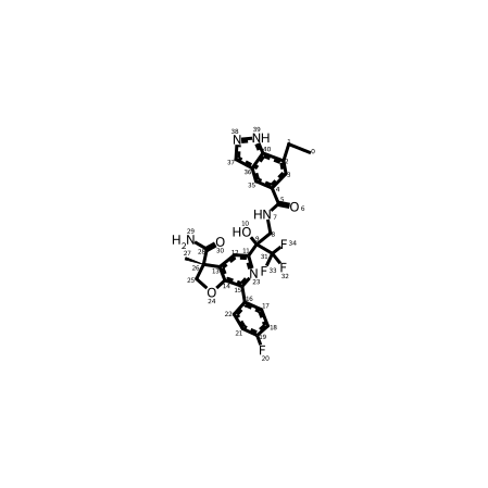 CCc1cc(C(=O)NCC(O)(c2cc3c(c(-c4ccc(F)cc4)n2)OC[C@]3(C)C(N)=O)C(F)(F)F)cc2cn[nH]c12